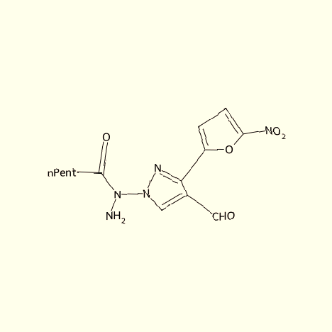 CCCCCC(=O)N(N)n1cc(C=O)c(-c2ccc([N+](=O)[O-])o2)n1